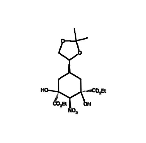 CCOC(=O)[C@]1(O)CC([C@H]2COC(C)(C)O2)C[C@](O)(C(=O)OCC)[C@H]1[N+](=O)[O-]